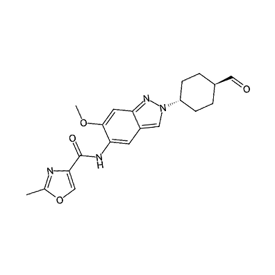 COc1cc2nn([C@H]3CC[C@H](C=O)CC3)cc2cc1NC(=O)c1coc(C)n1